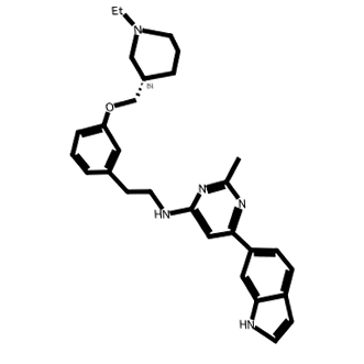 CCN1CCC[C@H](COc2cccc(CCNc3cc(-c4ccc5cc[nH]c5c4)nc(C)n3)c2)C1